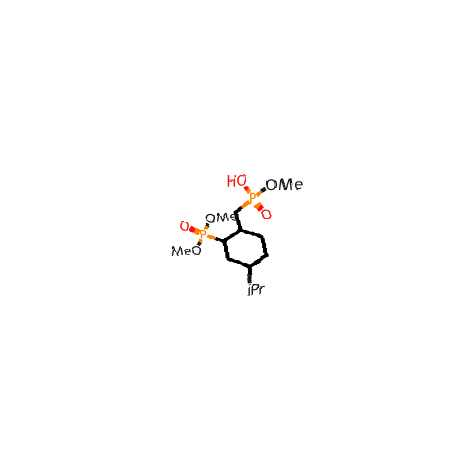 COP(=O)(O)CC1CCC(C(C)C)CC1P(=O)(OC)OC